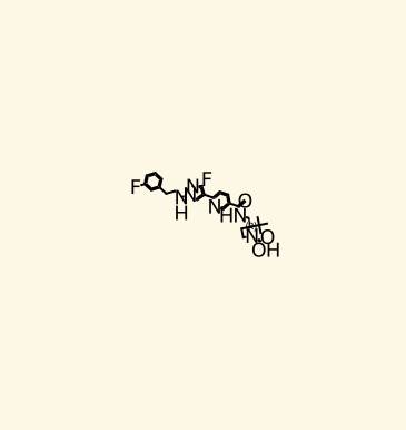 CC(C)(C)[C@@]1(CNC(=O)c2ccc(-c3cn(NCCc4cccc(F)c4)nc3F)nc2)CCN1C(=O)O